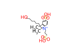 CC1=[N+](CCCS(=O)(=O)O)c2ccc(S(=O)(=O)O)cc2C1(C)CCCCCCO